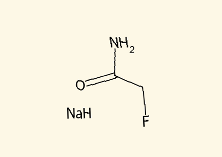 NC(=O)CF.[NaH]